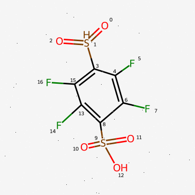 O=[SH](=O)c1c(F)c(F)c(S(=O)(=O)O)c(F)c1F